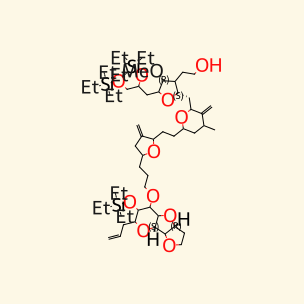 C=CCC1O[C@@H]2C(O[C@@H]3CCOC23)C(OCCCC2CC(=C)C(CCC3CC(C)C(=C)C(C[C@@H]4OC(CC(CO[Si](CC)(CC)CC)O[Si](CC)(CC)CC)[C@H](OC)C4CCO)O3)O2)C1O[Si](CC)(CC)CC